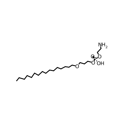 CCCCCCCCCCCCCCCCOCCCOP(=O)(O)OCCN